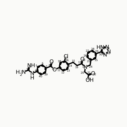 N=C(N)Nc1ccc(C(=O)Oc2ccc(CCC(=O)N(CC(=O)O)Cc3cccc(-c4nnn[nH]4)c3)c(Cl)c2)cc1